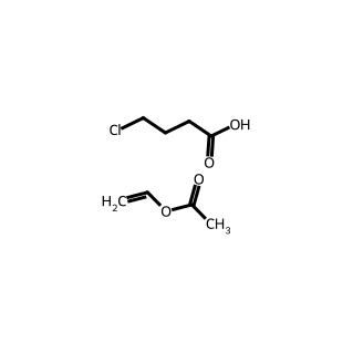 C=COC(C)=O.O=C(O)CCCCl